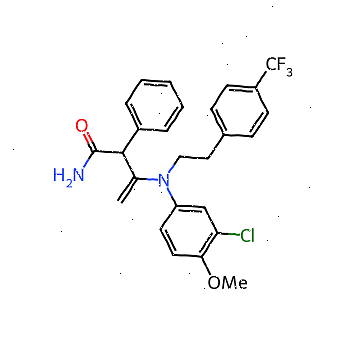 C=C(C(C(N)=O)c1ccccc1)N(CCc1ccc(C(F)(F)F)cc1)c1ccc(OC)c(Cl)c1